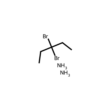 CCC(Br)(Br)CC.N.N